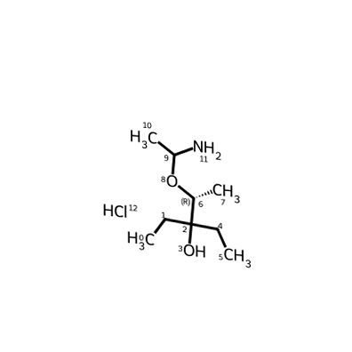 CCC(O)(CC)[C@@H](C)OC(C)N.Cl